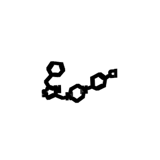 Clc1ccc(N2CCN(Cc3csc(Cc4ccccc4)n3)CC2)cc1